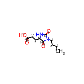 CCCCN1C(=O)NC(CCC(=O)O)C1=O